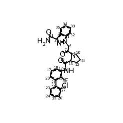 NC(=O)c1nn(CC(=O)N2CCCC2C(=O)Nc2cccc(-c3ccccc3Cl)c2F)c2ccccc12